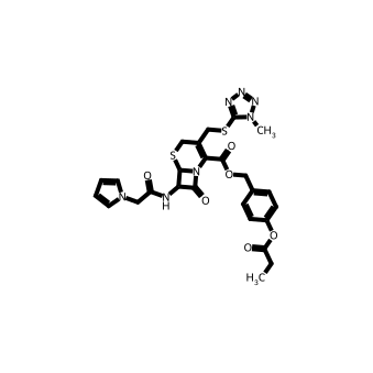 CCC(=O)Oc1ccc(COC(=O)C2=C(CSc3nnnn3C)CSC3C(NC(=O)Cn4cccc4)C(=O)N23)cc1